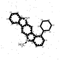 Cn1c2cc3c(cc2c2c(C4CCCCC4)cccc21)oc1ccccc13